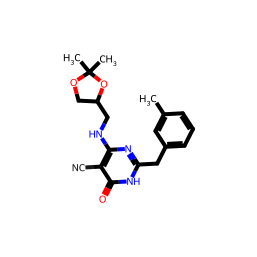 Cc1cccc(Cc2nc(NCC3COC(C)(C)O3)c(C#N)c(=O)[nH]2)c1